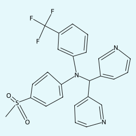 CS(=O)(=O)c1ccc(N(c2cccc(C(F)(F)F)c2)C(c2cccnc2)c2cccnc2)cc1